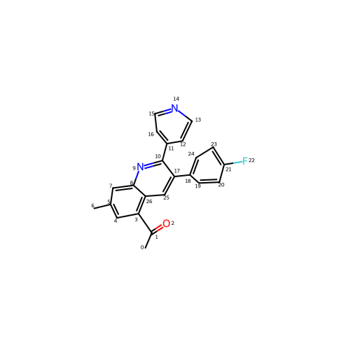 CC(=O)c1cc(C)cc2nc(-c3ccncc3)c(-c3ccc(F)cc3)cc12